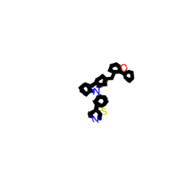 c1ccc2c(c1)oc1cccc(Cc3ccc4c5ccccc5n(-c5ccc6sc7cnccc7c6c5)c4c3)c12